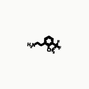 Cc1c(CCN)cccc1C(F)(F)F